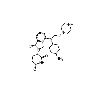 NC1CCC(N(CCN2CCNCC2)c2cccc3c2CN(C2CCC(=O)NC2=O)C3=O)CC1